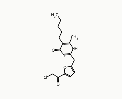 CCCCCc1c(C)[nH]c(Cc2ccc(C(=O)CCl)o2)nc1=O